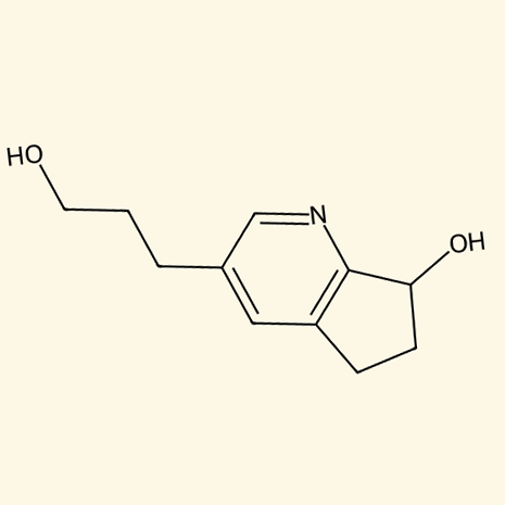 OCCCc1cnc2c(c1)CCC2O